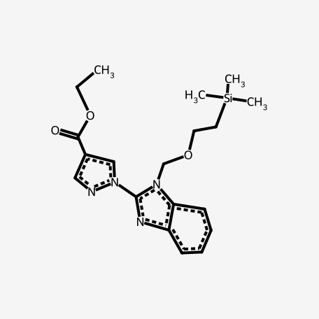 CCOC(=O)c1cnn(-c2nc3ccccc3n2COCC[Si](C)(C)C)c1